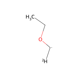 [2H][CH]OCC